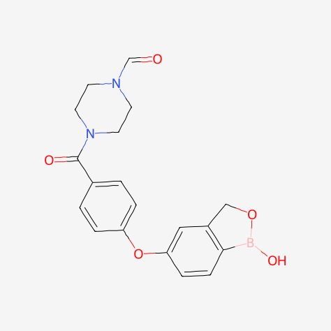 O=CN1CCN(C(=O)c2ccc(Oc3ccc4c(c3)COB4O)cc2)CC1